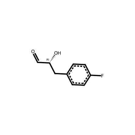 O=C[C@H](O)Cc1ccc(F)cc1